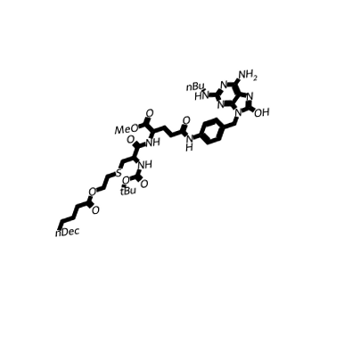 CCCCCCCCCCCCCC(=O)OCCSCC(NC(=O)OC(C)(C)C)C(=O)NC(CCC(=O)Nc1ccc(Cn2c(O)nc3c(N)nc(NCCCC)nc32)cc1)C(=O)OC